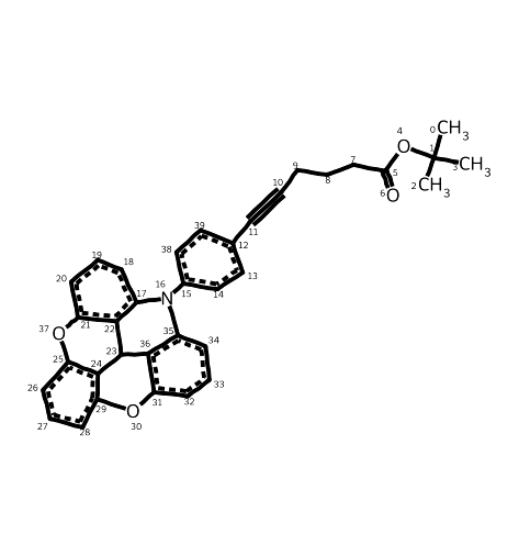 CC(C)(C)OC(=O)CCCC#Cc1ccc(N2c3cccc4c3C3c5c(cccc5Oc5cccc2c53)O4)cc1